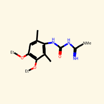 CCOc1cc(C)c(NC(=O)NC(=N)NC)c(C)c1OCC